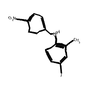 Cc1cc(I)ccc1NC1=CC=C([N+](=O)[O-])C[CH]1